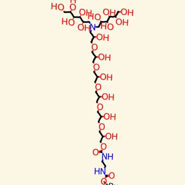 CC(C)(C)OC(=O)NCCNC(=O)OCC(O)COCC(O)COCC(O)COCC(O)COCC(O)COCC(O)CN(C[C@H](O)[C@@H](O)[C@H](O)[C@H](O)CO)C[C@H](O)[C@@H](O)[C@H](O)[C@H](O)CO